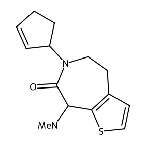 CNC1C(=O)N(C2C=CCC2)CCc2ccsc21